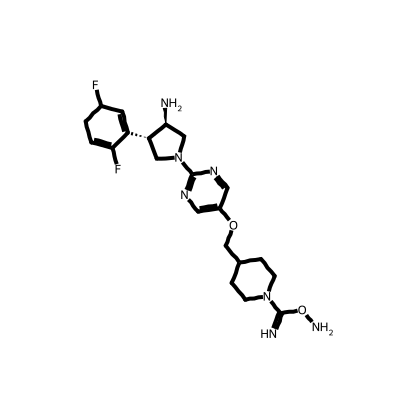 N=C(ON)N1CCC(COc2cnc(N3C[C@H](C4=CC(F)CC=C4F)[C@@H](N)C3)nc2)CC1